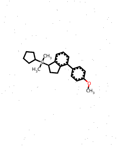 COc1ccc(-c2cccc3c2CCC3[Si](C)(C)C2CCCC2)cc1